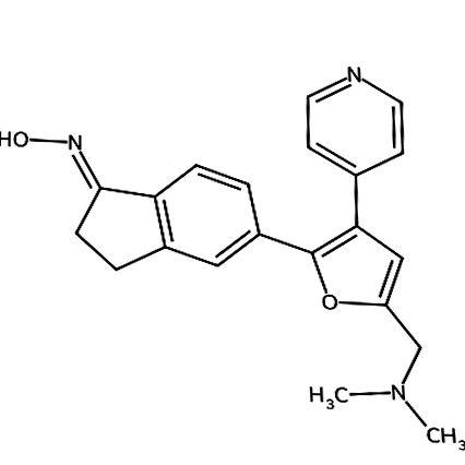 CN(C)Cc1cc(-c2ccncc2)c(-c2ccc3c(c2)CC/C3=N\O)o1